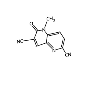 Cn1c(=O)c(C#N)[c]c2nc(C#N)ccc21